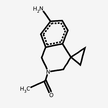 CC(=O)N1Cc2cc(N)ccc2C2(CC2)C1